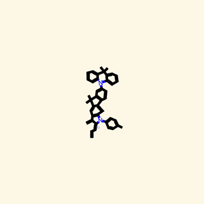 C=C/C=c1\c(=C)c2cc3c(cc2n1-c1ccc(C)cc1)-c1ccc(N2c4ccccc4C(C)(C)c4ccccc42)cc1C3(C)C